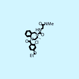 CCOc1ccc(C(=O)N2C[C@@H](C)N(C(=O)NCC(=O)NC)Cc3ccccc32)c(Cl)c1